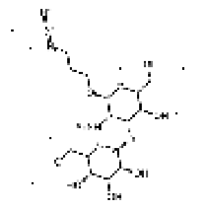 CC(=O)NC1[C@@H](OCCCN=[N+]=[N-])OC(CO)[C@@H](O)[C@@H]1O[C@@H]1OC(CO)[C@H](O)C(O)[C@@H]1O